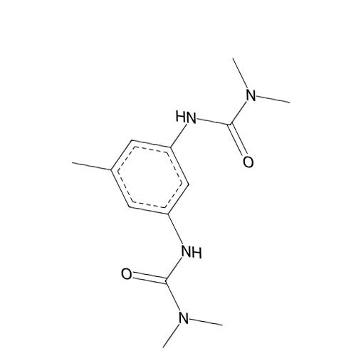 Cc1cc(NC(=O)N(C)C)cc(NC(=O)N(C)C)c1